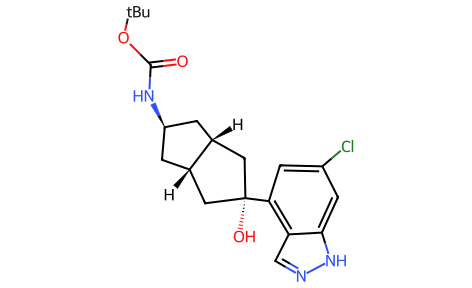 CC(C)(C)OC(=O)N[C@H]1C[C@@H]2C[C@@](O)(c3cc(Cl)cc4[nH]ncc34)C[C@@H]2C1